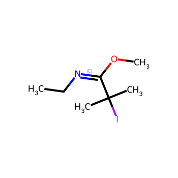 CC/N=C(/OC)C(C)(C)I